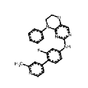 Cc1cc(-c2ccc(Nc3ncc4c(n3)N(c3ccccc3)CCO4)cc2F)ccn1